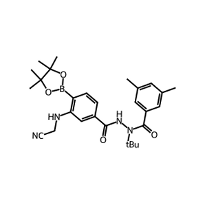 Cc1cc(C)cc(C(=O)N(NC(=O)c2ccc(B3OC(C)(C)C(C)(C)O3)c(NCC#N)c2)C(C)(C)C)c1